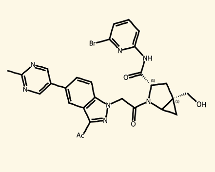 CC(=O)c1nn(CC(=O)N2C3C[C@]3(CO)C[C@H]2C(=O)Nc2cccc(Br)n2)c2ccc(-c3cnc(C)nc3)cc12